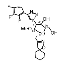 CO[C@@H]1[C@@H](n2cc(-c3ccc(F)c(F)c3F)nn2)[C@@H](O)[C@@H](CO)O[C@@H]1CC1=NOC2(CCCCC2)C1